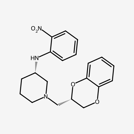 O=[N+]([O-])c1ccccc1N[C@H]1CCCN(C[C@H]2COc3ccccc3O2)C1